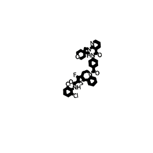 O=C(Nc1ccc(C(=O)N2CCc3c(sc(C(=O)Nc4c(Cl)cccc4Cl)c3F)-c3ccccc32)cc1)c1cccnc1N1CC2(CCOCC2)C1